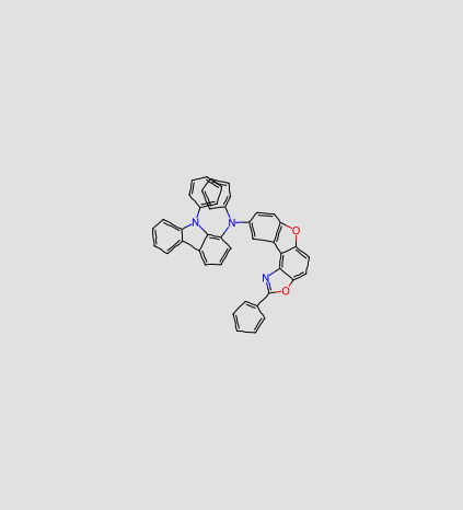 c1ccc(-c2nc3c(ccc4oc5ccc(N(c6ccccc6)c6cccc7c8ccccc8n(-c8ccccc8)c67)cc5c43)o2)cc1